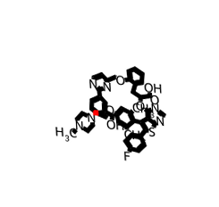 Cc1cc(OCCN2CCN(C)CC2)cc(C)c1-c1c(-c2ccc(F)cc2)sc2ncnc(OC(Cc3ccccc3OCc3ccnc(-c4cccc(CO)c4)n3)C(=O)O)c12